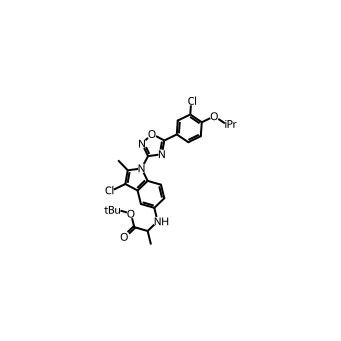 Cc1c(Cl)c2cc(NC(C)C(=O)OC(C)(C)C)ccc2n1-c1noc(-c2ccc(OC(C)C)c(Cl)c2)n1